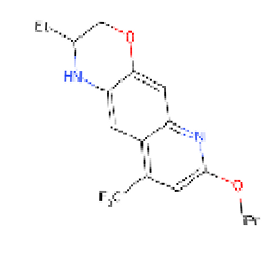 CCC1COc2cc3nc(OC(C)C)cc(C(F)(F)F)c3cc2N1